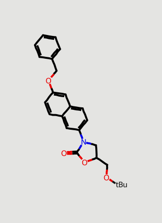 CC(C)(C)OCC1CN(c2ccc3cc(OCc4ccccc4)ccc3c2)C(=O)O1